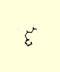 NC(=O)CC(Cc1ccco1)C(=O)O